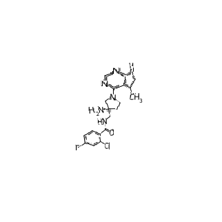 Cc1c[nH]c2ncnc(N3CC[C@](N)(CNC(=O)c4ccc(F)cc4Cl)C3)c12